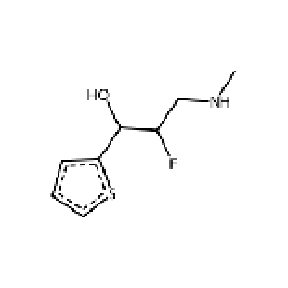 CNCC(F)C(O)c1cccs1